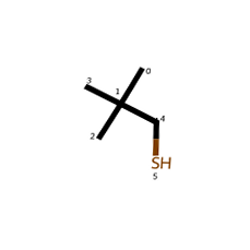 CC(C)(C)[CH]S